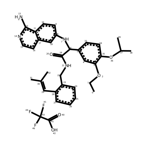 CCOc1cc(C(Nc2ccc3c(N)nccc3c2)C(=O)NCc2ccccc2C=C(C)C)ccc1OC(C)C.O=C(O)C(F)(F)F